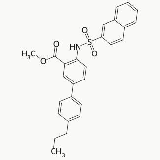 CCCc1ccc(-c2ccc(NS(=O)(=O)c3ccc4ccccc4c3)c(C(=O)OC)c2)cc1